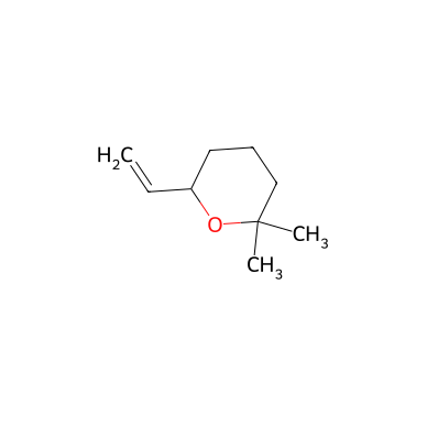 C=CC1CCCC(C)(C)O1